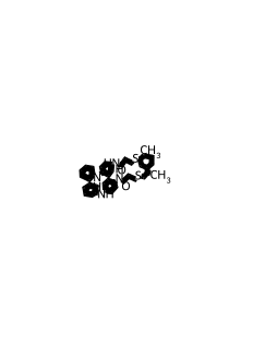 CC(CSCCC(=O)Nc1ccc(Nc2ccccc2)cc1)C1CCC(C)C(SCCC(=O)Nc2ccc(Nc3ccccc3)cc2)C1